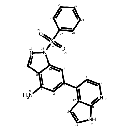 Nc1cc(-c2ccnc3[nH]ccc23)cc2c1cnn2S(=O)(=O)c1ccccc1